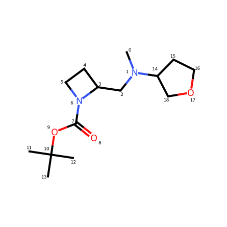 CN(CC1CCN1C(=O)OC(C)(C)C)C1CCOC1